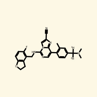 [2H]C([2H])(c1ccc(-c2cnc(NCc3c(F)ccc4c3CCO4)n3cc(C#N)nc23)c(C)c1)N(C)C